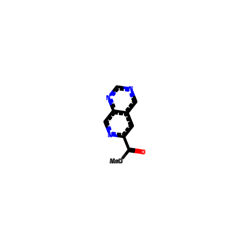 COC(=O)c1cc2cncnc2cn1